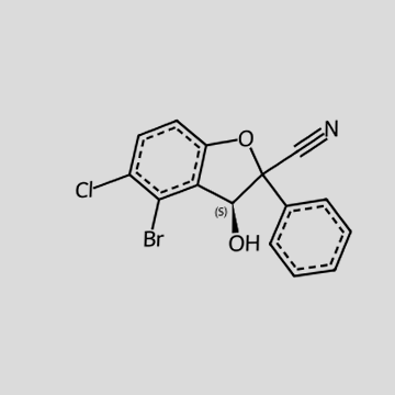 N#CC1(c2ccccc2)Oc2ccc(Cl)c(Br)c2[C@@H]1O